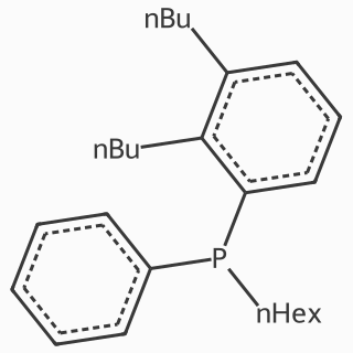 CCCCCCP(c1ccccc1)c1cccc(CCCC)c1CCCC